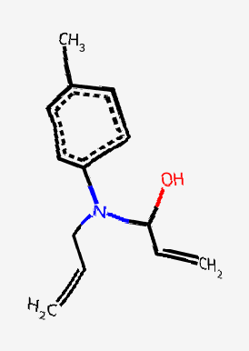 C=CCN(c1ccc(C)cc1)C(O)C=C